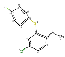 N#CCc1ccc(Cl)cc1Sc1ccc(F)cc1